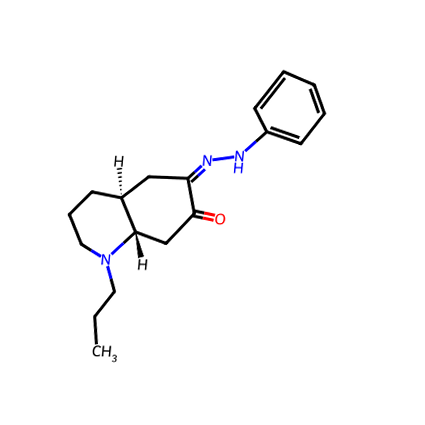 CCCN1CCC[C@H]2C/C(=N/Nc3ccccc3)C(=O)C[C@@H]21